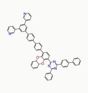 C1=CC2Oc3c(-c4ccc(-c5ccc(-c6cc(-c7cccnc7)cc(-c7cccnc7)c6)cc5)cc4)ccc(-c4nc(-c5ccccc5)nc(-c5ccc(-c6ccccc6)cc5)n4)c3OC2C=C1